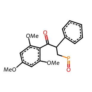 COc1cc(OC)c(C(=O)C(CP=O)c2ccccc2)c(OC)c1